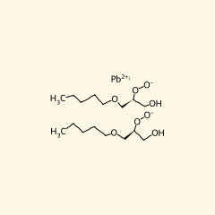 CCCCCOC[C@H](CO)O[O-].CCCCCOC[C@H](CO)O[O-].[Pb+2]